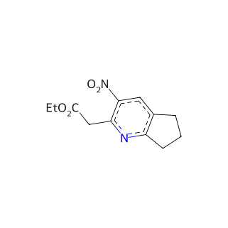 CCOC(=O)Cc1nc2c(cc1[N+](=O)[O-])CCC2